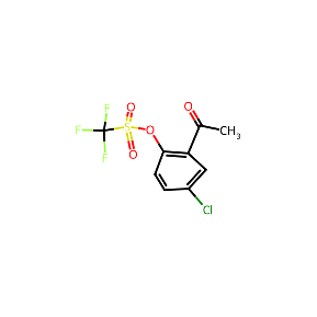 CC(=O)c1cc(Cl)ccc1OS(=O)(=O)C(F)(F)F